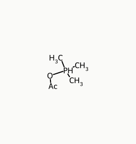 CC(=O)O[PH](C)(C)C